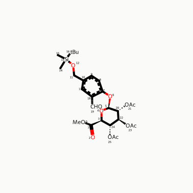 COC(=O)[C@H]1O[C@@H](Oc2ccc(CO[Si](C)(C)C(C)(C)C)cc2C=O)[C@H](OC(C)=O)[C@@H](OC(C)=O)[C@@H]1OC(C)=O